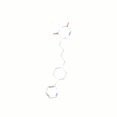 Cn1c(=O)cnn(CCCCN2CCN(c3ccccn3)CC2)c1=O